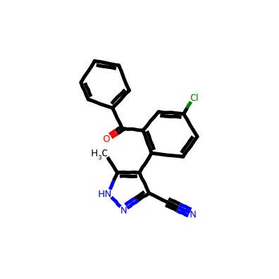 Cc1[nH]nc(C#N)c1-c1ccc(Cl)cc1C(=O)c1ccccc1